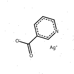 O=C([O-])c1cccnc1.[Ag+]